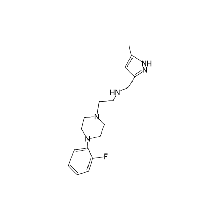 Cc1cc(CNCCN2CCN(c3ccccc3F)CC2)n[nH]1